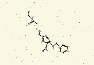 CCOC(=O)CCNCc1ccc(OCc2ccccc2)c(OC)c1